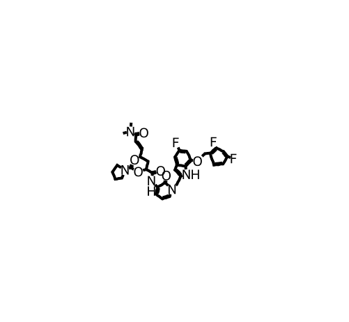 CN(C)C(=O)/C=C/CCC(OC(=O)N1CCCC1)C(=O)Nc1cccn(Cc2cc3cc(F)cc(OCc4ccc(F)cc4F)c3[nH]2)c1=O